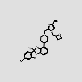 CC1(c2ccc(Cl)cc2F)Oc2cccc(C3CCN(Cc4nc(C=O)cn4CC4CCO4)CC3)c2O1